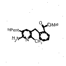 CCCCCc1cc(Cc2ccccc2C(=O)OC)c(C)nc1N